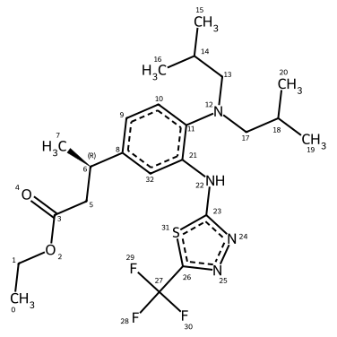 CCOC(=O)C[C@@H](C)c1ccc(N(CC(C)C)CC(C)C)c(Nc2nnc(C(F)(F)F)s2)c1